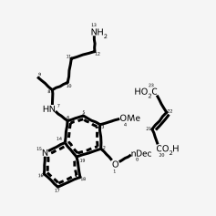 CCCCCCCCCCOc1c(OC)cc(NC(C)CCCN)c2ncccc12.O=C(O)C=CC(=O)O